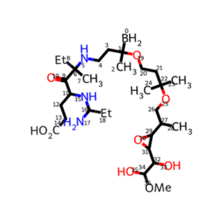 BC(C)(CCNC(C)(CC)C(=O)C(CCC(=O)O)NC(N)CC)OCCC(C)(C)OCC(C)C1OC1C(O)C(O)OC